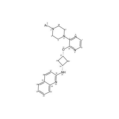 CC(=O)N1CCN(c2nccnc2O[C@H]2C[C@@H](Nc3ccc4ccccc4n3)C2)CC1